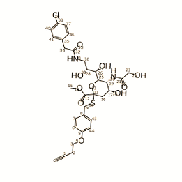 C#CCCOc1ccc(CS[C@]2(C(=O)OC)C[C@H](O)[C@@H](NC(=O)CO)[C@H]([C@H](O)[C@H](O)CNC(=O)Cc3ccc(Cl)cc3)O2)cc1